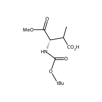 COC(=O)[C@@H](NC(=O)OC(C)(C)C)C(C)C(=O)O